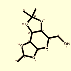 CC1OC2OC(CO)C3OC(C)(C)OC3C2O1